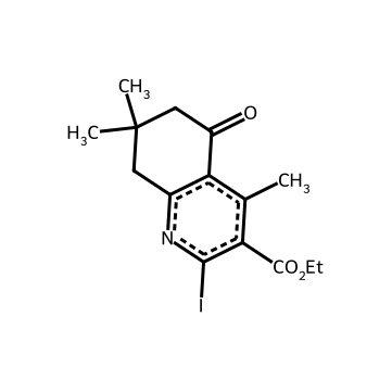 CCOC(=O)c1c(I)nc2c(c1C)C(=O)CC(C)(C)C2